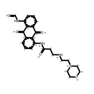 O=CNc1cccc2c1C(=O)c1cccc(NC(=O)CCNCCN3CCOCC3)c1C2=O